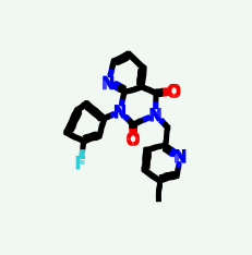 Cc1ccc(Cn2c(=O)c3cccnc3n(-c3cccc(F)c3)c2=O)nc1